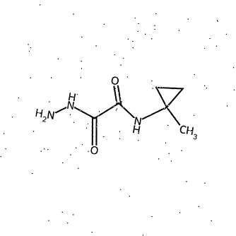 CC1(NC(=O)C(=O)NN)CC1